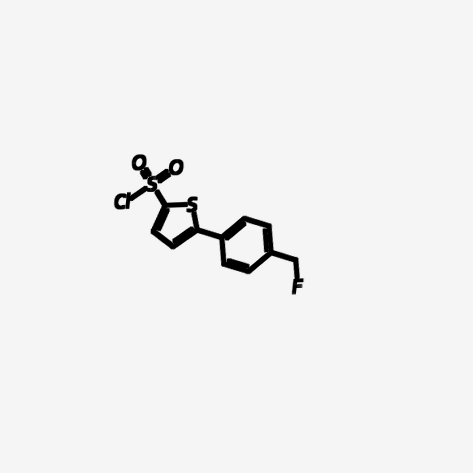 O=S(=O)(Cl)c1ccc(-c2ccc(CF)cc2)s1